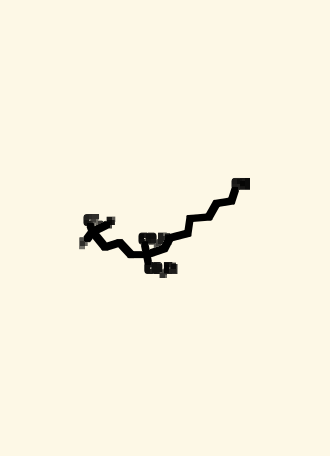 CCOC(=O)C(CCCCCCCO)(CCCC(F)(F)C(F)(F)F)C(=O)OCC